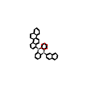 c1ccc(N(c2ccc3ccccc3c2)c2ccccc2N(c2ccccc2)c2cccc3c2ccc2c4ccccc4ccc32)cc1